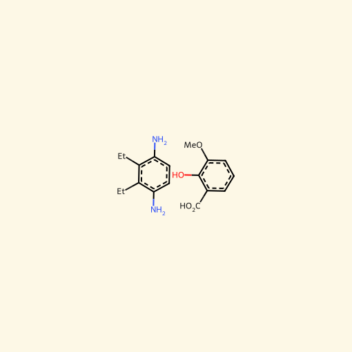 CCc1c(N)ccc(N)c1CC.COc1cccc(C(=O)O)c1O